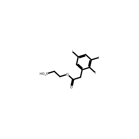 O=C(Cc1cc(I)cc(I)c1I)OCCS(=O)(=O)O